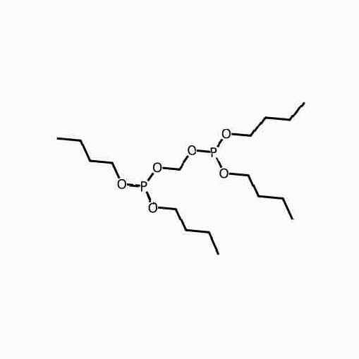 CCCCOP(OCCCC)OCOP(OCCCC)OCCCC